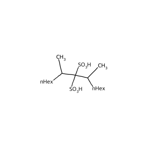 CCCCCCC(C)C(C(C)CCCCCC)(S(=O)(=O)O)S(=O)(=O)O